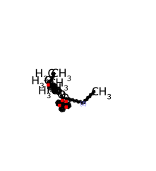 CCCCCCCC/C=C\CCCCCCCC(=O)OC(CO[C@H]1CC[C@@]2(C)C(=CC[C@H]3[C@@H]4CC[C@H]([C@H](C)CCCC(C)C)[C@@]4(C)CC[C@@H]32)C1)COC(c1ccccc1)(c1ccccc1)c1ccccc1